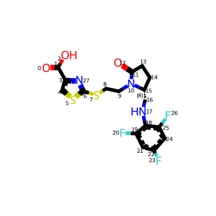 O=C(O)c1csc(SCCN2C(=O)CC[C@@H]2CNc2c(F)cc(F)cc2F)n1